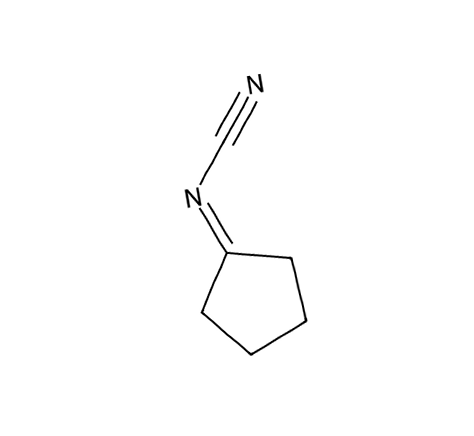 N#CN=C1CCCC1